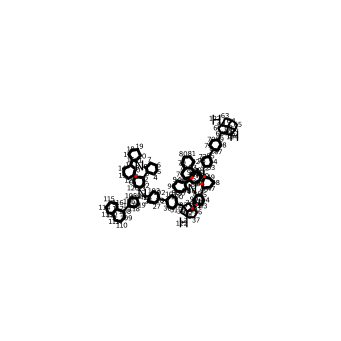 c1cc(-c2ccccc2-n2c3ccccc3c3ccccc32)cc(N(c2ccc(-c3ccc(C45C[C@@H]6CC[C@@H](C4)C65Cc4ccc(-c5cccc(N(c6ccc(-c7ccc(C89C[C@@H]%10CC%11C[C@@H](C8)C%11%10C9)cc7)cc6)c6cccc7ccccc67)c5)c(-n5c6ccccc6c6ccccc65)c4)cc3)cc2)c2ccc(-c3cccc4ccccc34)cc2)c1